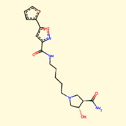 NC(=O)[C@@H]1CN(CCCCCNC(=O)c2cc(-c3cccs3)on2)C[C@H]1O